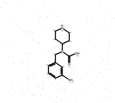 Nc1cccc(CN(C(=O)O)C2CCNCC2)c1